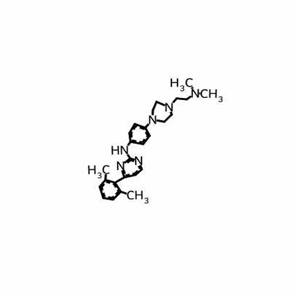 Cc1cccc(C)c1-c1ccnc(Nc2ccc(N3CCN(CCN(C)C)CC3)cc2)n1